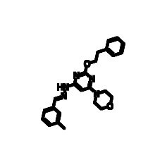 Cc1cccc(C=NNc2cc(N3CCOCC3)nc(OCCc3ccccc3)n2)c1